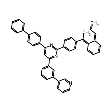 C=C/C=c1/cccc/c1=C(/C)c1ccc(-c2nc(-c3ccc(-c4ccccc4)cc3)cc(-c3cccc(-c4cccnc4)c3)n2)cc1